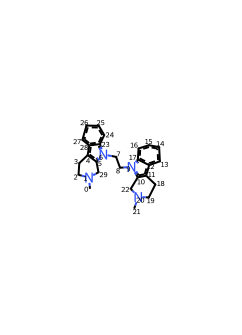 CN1CCc2c(n(CCn3c4c(c5ccccc53)CCN(C)C4)c3ccccc23)C1